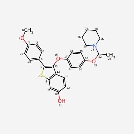 COc1ccc(-c2sc3cc(O)ccc3c2Oc2ccc(OC(C)N3CCCCC3)cc2)cc1